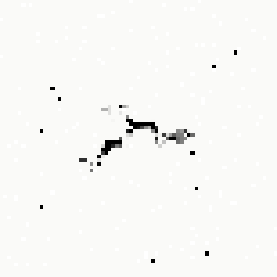 C=COC(C)CO[C](C)C